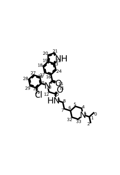 CC(C)N1CCC(CCNC(=O)CN(C(=O)c2ccc3cc[nH]c3c2)c2ccccc2Cl)CC1